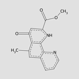 COC(=O)c1cc(=O)c2c(C)cc3cccnc3c2[nH]1